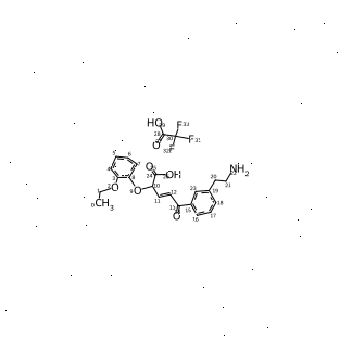 CCOc1ccccc1OC(C=CC(=O)c1cccc(CCN)c1)C(=O)O.O=C(O)C(F)(F)F